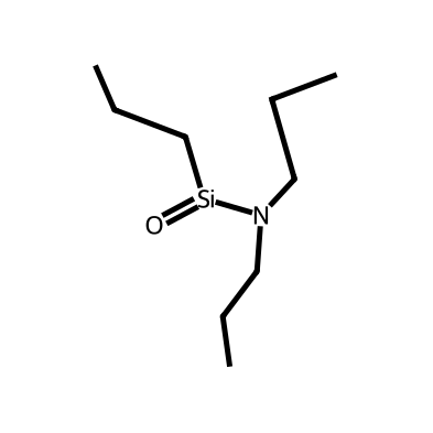 CCCN(CCC)[Si](=O)CCC